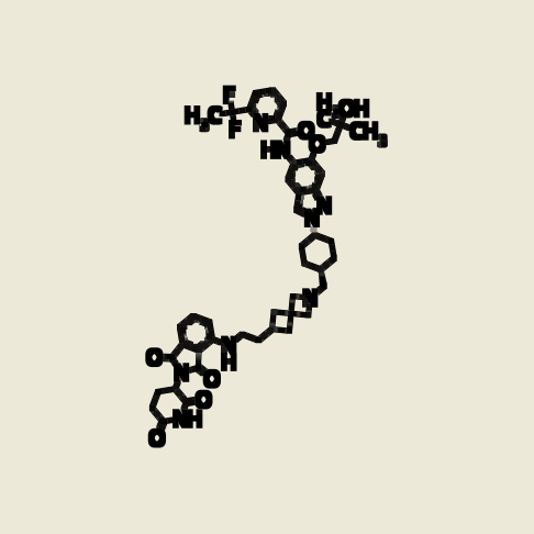 CC(C)(O)COc1cc2nn([C@H]3CC[C@H](CN4CC5(CC(CCNc6cccc7c6C(=O)N(C6CCC(=O)NC6=O)C7=O)C5)C4)CC3)cc2cc1NC(=O)c1cccc(C(C)(F)F)n1